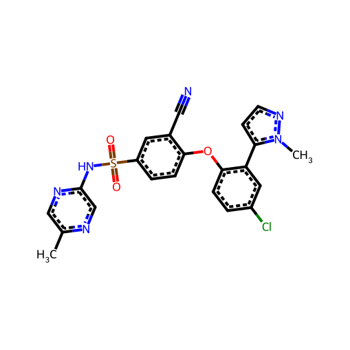 Cc1cnc(NS(=O)(=O)c2ccc(Oc3ccc(Cl)cc3-c3ccnn3C)c(C#N)c2)cn1